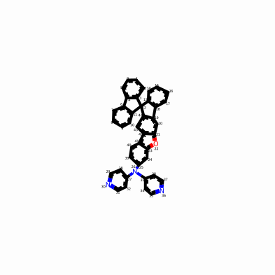 c1ccc2c(c1)-c1ccccc1C21c2ccccc2-c2cc3oc4cc(N(c5ccncc5)c5ccncc5)ccc4c3cc21